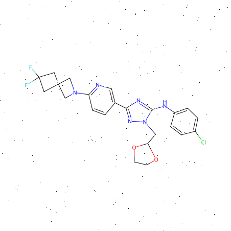 FC1(F)CC2(CN(c3ccc(-c4nc(Nc5ccc(Cl)cc5)n(CC5OCCO5)n4)cn3)C2)C1